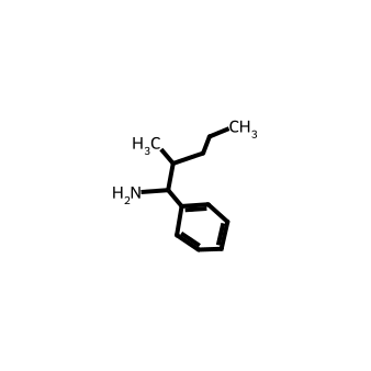 CCCC(C)C(N)c1ccccc1